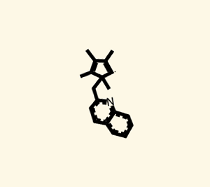 CC1=[C]C(C)(Cc2ccc3ccccc3n2)C(C)=C1C